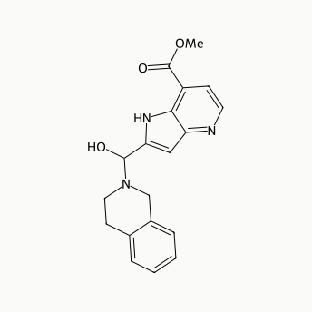 COC(=O)c1ccnc2cc(C(O)N3CCc4ccccc4C3)[nH]c12